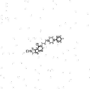 CCN1Cc2sc3ncn(CCCN4CCN(c5ncccn5)CC4)c(=O)c3c2C1